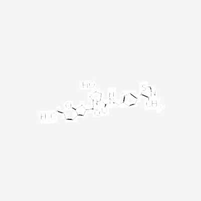 C/C=C\C=C/C1=CC(C(=O)N2C[C@H](O)C[C@H]2C(=O)NCc2ccc(-c3scnc3C)cc2)CC1=O